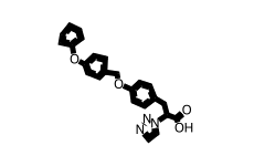 O=C(O)C(Cc1ccc(OCc2ccc(Oc3ccccc3)cc2)cc1)n1ccnn1